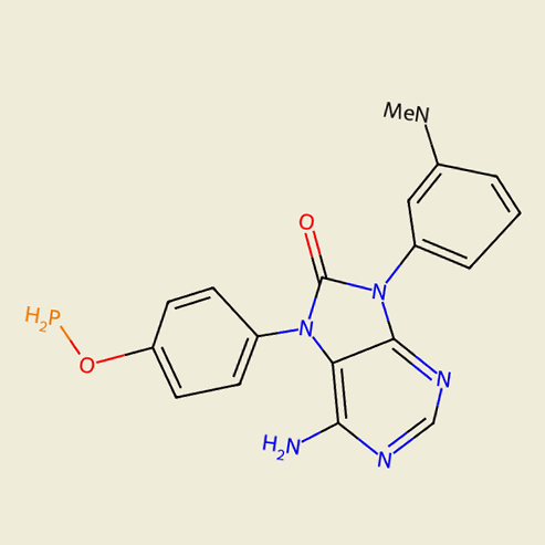 CNc1cccc(-n2c(=O)n(-c3ccc(OP)cc3)c3c(N)ncnc32)c1